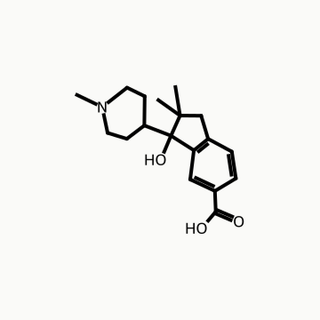 CN1CCC(C2(O)c3cc(C(=O)O)ccc3CC2(C)C)CC1